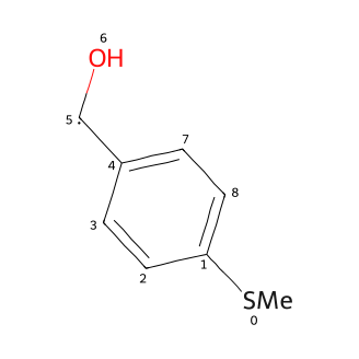 CSc1ccc([CH]O)cc1